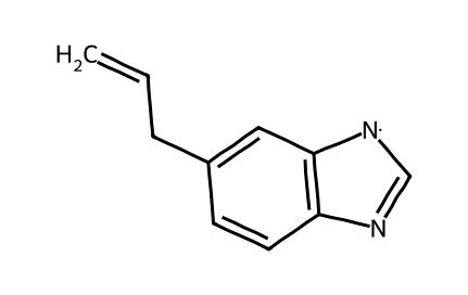 C=CCc1ccc2c(c1)[N]C=N2